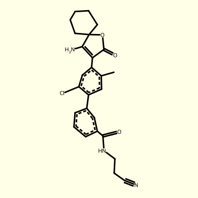 Cc1cc(-c2cccc(C(=O)NCCC#N)c2)c(Cl)cc1C1=C(N)C2(CCCCC2)OC1=O